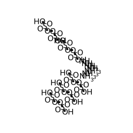 N.N.N.N.N.N.N.O=S(=O)(O)OOS(=O)(=O)O.O=S(=O)(O)OOS(=O)(=O)O.O=S(=O)(O)OOS(=O)(=O)O.O=S(=O)(O)OOS(=O)(=O)O.O=S(=O)(O)OOS(=O)(=O)O